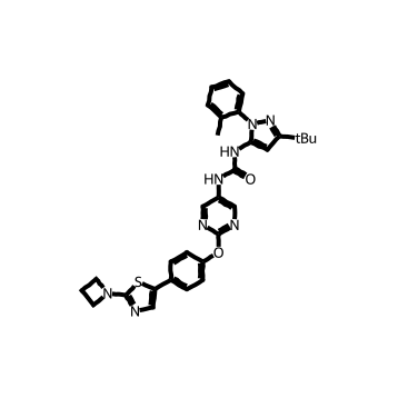 Cc1ccccc1-n1nc(C(C)(C)C)cc1NC(=O)Nc1cnc(Oc2ccc(-c3cnc(N4CCC4)s3)cc2)nc1